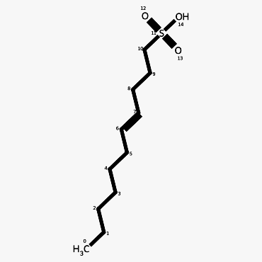 CCCCCC/C=C/CCCS(=O)(=O)O